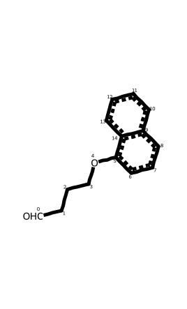 O=CCCCOc1cccc2ccccc12